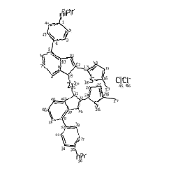 CCCc1ccc(-c2cccc3c2C=C(c2ccc(C)s2)[CH]3[Zr+2][CH]2C(c3ccc(C)s3)=Cc3c(-c4ccc(CCC)cc4)cccc32)cc1.[Cl-].[Cl-]